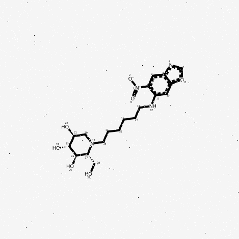 O=[N+]([O-])c1cc2ncoc2cc1NCCCCCCN1C[C@H](O)[C@@H](O)[C@H](O)[C@H]1CO